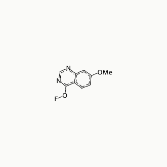 COc1ccc2c(OF)ncnc2c1